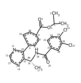 CC(C)OC(=O)c1ccc(-c2nccnc2[C@@H](C)NC(=O)c2ccc(Cl)c(Cl)c2)cc1